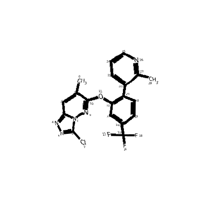 Cc1cc2nnc(Cl)n2nc1Oc1cc(C(F)(F)F)ccc1-c1cccnc1C